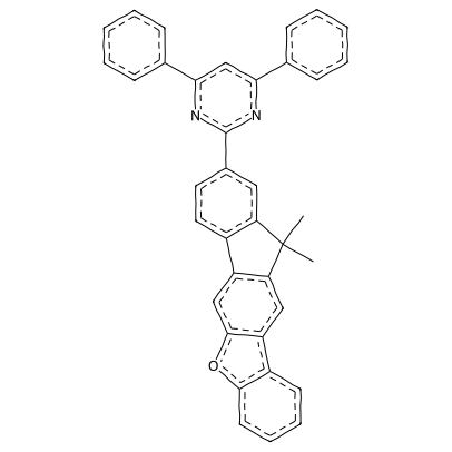 CC1(C)c2cc(-c3nc(-c4ccccc4)cc(-c4ccccc4)n3)ccc2-c2cc3oc4ccccc4c3cc21